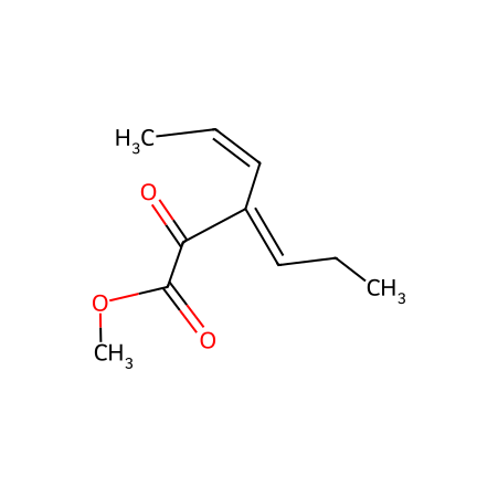 C/C=C\C(=C/CC)C(=O)C(=O)OC